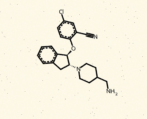 N#Cc1cc(Cl)ccc1O[C@@H]1c2ccccc2C[C@H]1N1CCC(CN)CC1